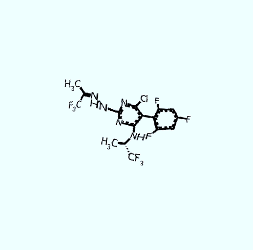 C/C(=N/Nc1nc(Cl)c(-c2c(F)cc(F)cc2F)c(N[C@@H](C)C(F)(F)F)n1)C(F)(F)F